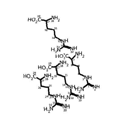 N=C(N)NCCCC(N)C(=O)O.N=C(N)NCCCC(N)C(=O)O.N=C(N)NCCCC(N)C(=O)O.N=C(N)NCCCC(N)C(=O)O